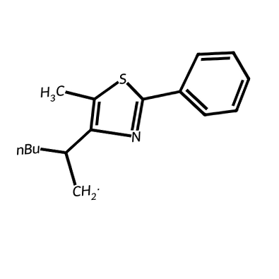 [CH2]C(CCCC)c1nc(-c2ccccc2)sc1C